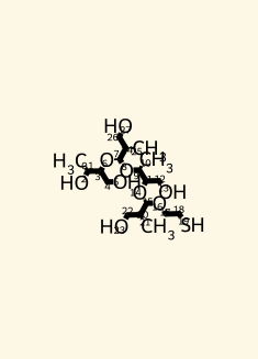 C[C@H](O)C(CO)O[C@@H](O[C@@H](C)C(CO)O[C@@H](OCCS)[C@@H](C)CO)[C@@H](C)CO